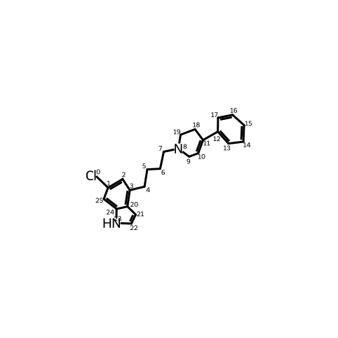 Clc1cc(CCCCN2CC=C(c3ccccc3)CC2)c2cc[nH]c2c1